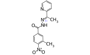 C/C(=N\NC(=O)c1ccc([N+](=O)[O-])c(C)c1)c1ccccn1